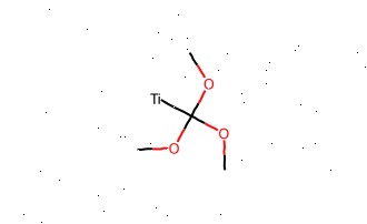 CO[C]([Ti])(OC)OC